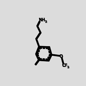 Cc1cc(CCCN)cc(OC(F)(F)F)c1